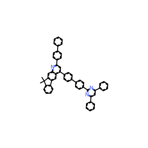 CC1(C)c2ccccc2-c2cc3c(-c4ccc(-c5ccc(-c6nc(-c7ccccc7)cc(-c7ccccc7)n6)cc5)cc4)cc(-c4ccc(-c5ccccc5)cc4)nc3cc21